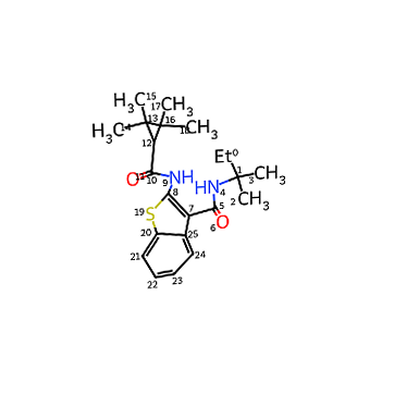 CCC(C)(C)NC(=O)c1c(NC(=O)C2C(C)(C)C2(C)C)sc2ccccc12